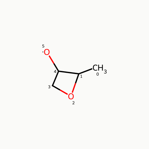 CC1OCC1[O]